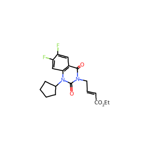 CCOC(=O)/C=C/Cn1c(=O)c2cc(F)c(F)cc2n(C2CCCC2)c1=O